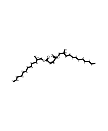 CCCCCCCCCCC(C)COC(=O)/C=C\C(=O)OCC(C)CCCCCCCCCC